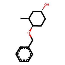 C[C@H]1C[C@H](O)CC[C@H]1OCc1ccccc1